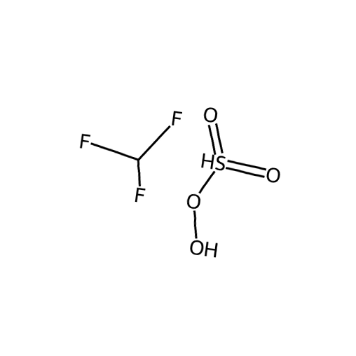 FC(F)F.O=[SH](=O)OO